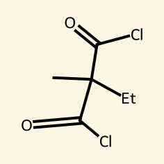 CCC(C)(C(=O)Cl)C(=O)Cl